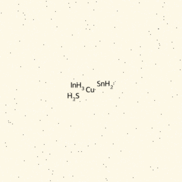 S.[Cu].[InH3].[SnH2]